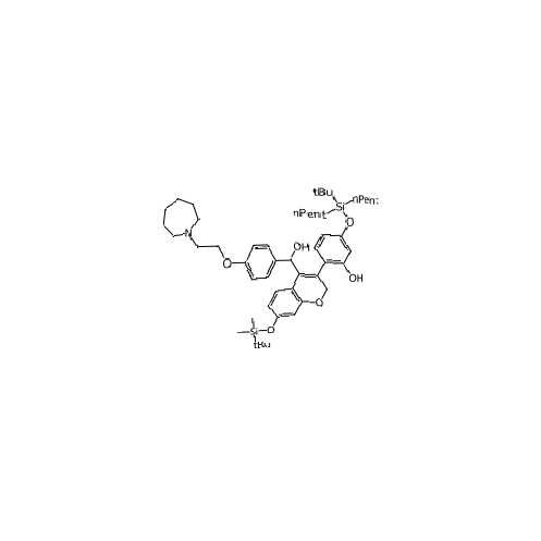 CCCCC[Si](CCCCC)(Oc1ccc(C2=C(C(O)c3ccc(OCCN4CCCCCC4)cc3)c3ccc(O[Si](C)(C)C(C)(C)C)cc3OC2)c(O)c1)C(C)(C)C